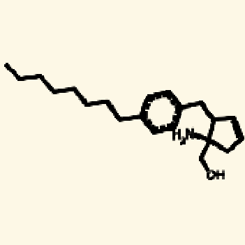 CCCCCCCCc1ccc(CC2C=CCC2(N)CO)cc1